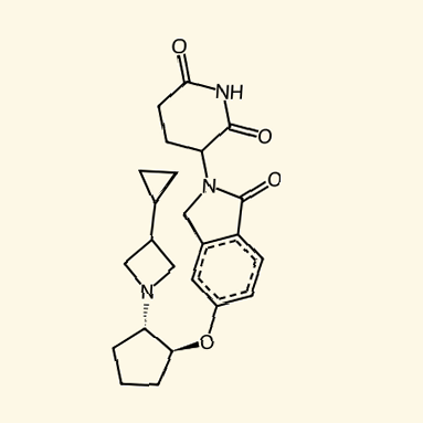 O=C1CCC(N2Cc3cc(O[C@H]4CCC[C@@H]4N4CC(C5CC5)C4)ccc3C2=O)C(=O)N1